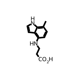 Cc1ccc(NCCC(=O)O)c2cc[nH]c12